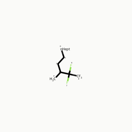 CCCCCCCCCC(C)C(F)(F)C(F)(F)F